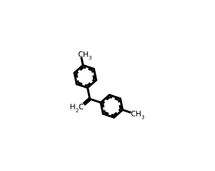 C=C(c1ccc(C)cc1)c1ccc(C)cc1